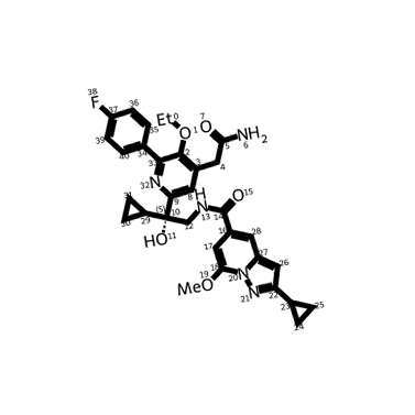 CCOc1c(CC(N)=O)cc([C@@](O)(CNC(=O)c2cc(OC)n3nc(C4CC4)cc3c2)C2CC2)nc1-c1ccc(F)cc1